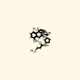 CCCC(=O)N[C@@H]1CC[C@@H](C(=O)N2CC[C@@]3(C)c4cccc(O)c4C[C@@H]2C3(C)C)C1